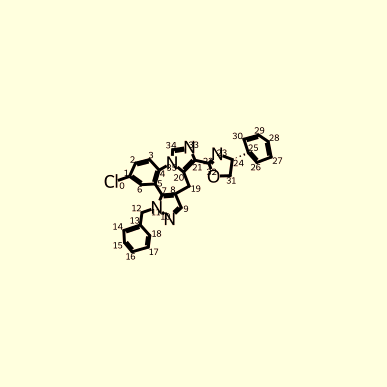 Clc1ccc2c(c1)-c1c(cnn1Cc1ccccc1)Cc1c(C3=N[C@H](c4ccccc4)CO3)ncn1-2